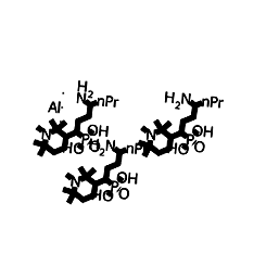 CCCC(N)CCC(C1CCC(C)(C)N(C)C1(C)C)P(=O)(O)O.CCCC(N)CCC(C1CCC(C)(C)N(C)C1(C)C)P(=O)(O)O.CCCC(N)CCC(C1CCC(C)(C)N(C)C1(C)C)P(=O)(O)O.[Al]